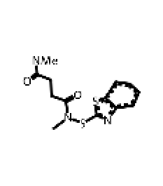 CNC(=O)CCC(=O)N(C)Sc1nc2ccccc2s1